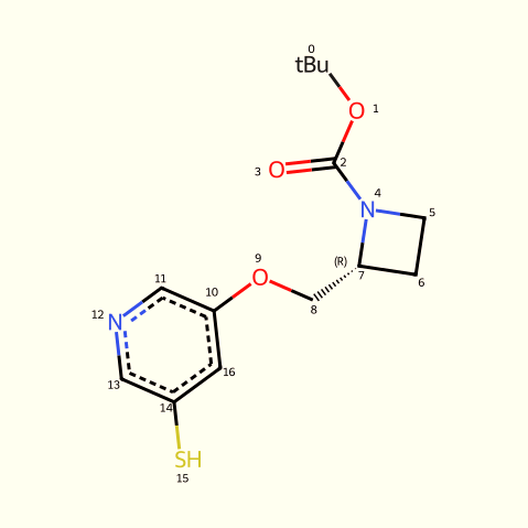 CC(C)(C)OC(=O)N1CC[C@@H]1COc1cncc(S)c1